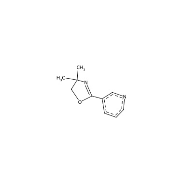 CC1(C)COC(c2cccnc2)=N1